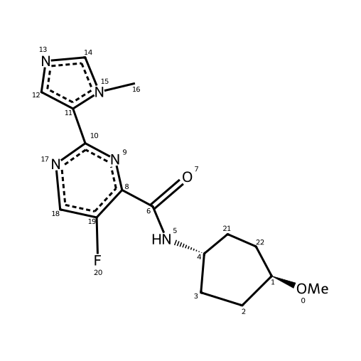 CO[C@H]1CC[C@H](NC(=O)c2nc(-c3cncn3C)ncc2F)CC1